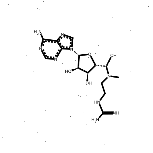 CN(CCNC(=N)N)C(O)[C@H]1O[C@@H](n2cnc3c(N)ncnc32)[C@H](O)[C@@H]1O